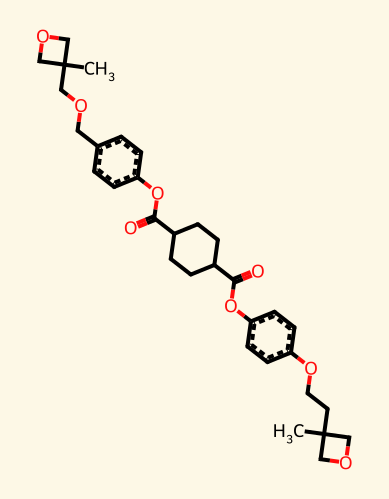 CC1(CCOc2ccc(OC(=O)C3CCC(C(=O)Oc4ccc(COCC5(C)COC5)cc4)CC3)cc2)COC1